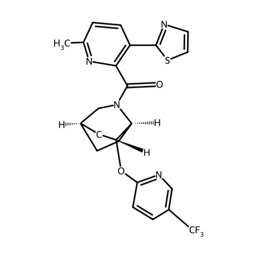 Cc1ccc(-c2nccs2)c(C(=O)N2C[C@@H]3CC[C@H]2[C@H](Oc2ccc(C(F)(F)F)cn2)C3)n1